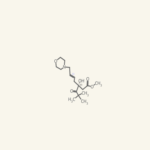 COC(=O)C[C@](O)(C/C=C/CN1CCOCC1)C(=O)C(C)(C)C